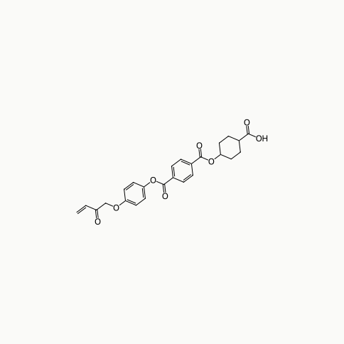 C=CC(=O)COc1ccc(OC(=O)c2ccc(C(=O)OC3CCC(C(=O)O)CC3)cc2)cc1